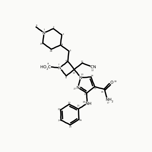 CN1CCC(CC2N(C(=O)O)CC2(CC#N)n2cc(C(N)=O)c(Nc3ccccc3)n2)CC1